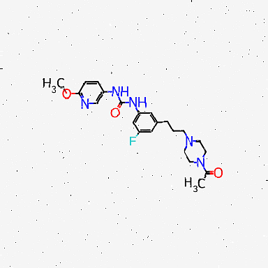 COc1ccc(NC(=O)Nc2cc(F)cc(CCCN3CCN(C(C)=O)CC3)c2)cn1